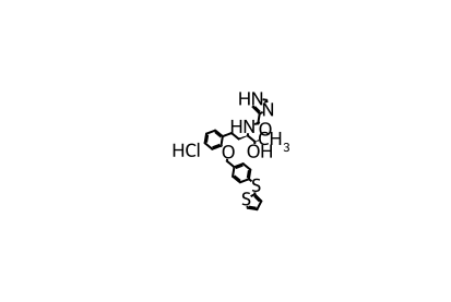 C[C@H](O)[C@@H](CCc1ccccc1OCc1ccc(Sc2cccs2)cc1)NC(=O)c1c[nH]cn1.Cl